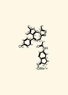 CO/N=C1/c2ccc(NC(=O)C[C@@H]3N=C(c4ccc(Cl)cc4)c4c(sc(C)c4C)-n4c(C)nnc43)cc2C[C@@H]1C